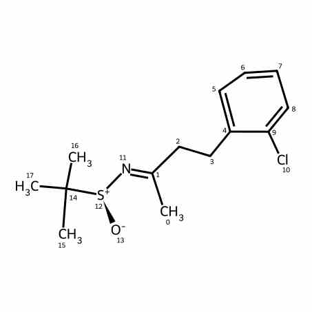 C/C(CCc1ccccc1Cl)=N\[S@@+]([O-])C(C)(C)C